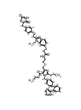 CCCc1nc(CSCCNC(=O)CSc2ccc3nc(COc4ccc(CC5SC(=O)NC5=O)cc4)n(C)c3c2)c(C(=O)OCC)n1Cc1ccc(-c2ccccc2-c2nnn[nH]2)cc1